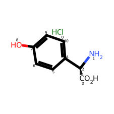 Cl.N[C@@H](C(=O)O)c1ccc(O)cc1